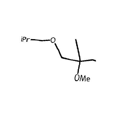 COC(C)(C)COC(C)C